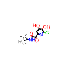 CC(C)NC(=O)C(=O)c1cc(O)c(O)c(Cl)n1